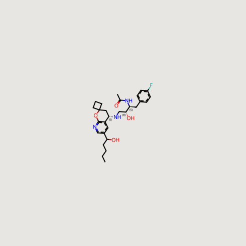 CCCCC(O)c1cnc2c(c1)[C@@H](NC[C@@H](O)[C@H](Cc1ccc(F)cc1)NC(C)=O)CC1(CCC1)O2